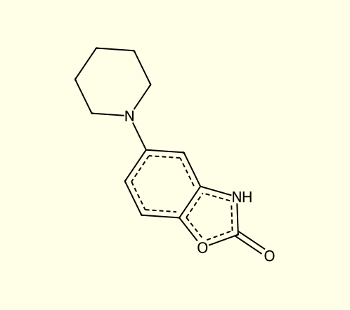 O=c1[nH]c2cc(N3CCCCC3)ccc2o1